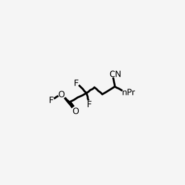 CCCC(C#N)CCC(F)(F)C(=O)OF